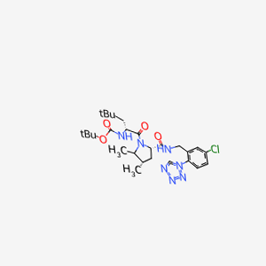 CC1[C@@H](C)C[C@@H](C(=O)NCc2cc(Cl)ccc2-n2cnnn2)N1C(=O)[C@@H](CC(C)(C)C)NC(=O)OC(C)(C)C